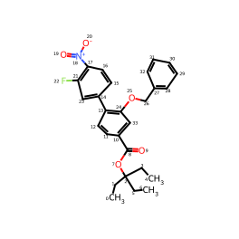 CCC(CC)(CC)OC(=O)c1ccc(-c2ccc([N+](=O)[O-])c(F)c2)c(OCc2ccccc2)c1